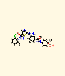 Cc1cccc(Cl)c1NC(=O)c1cnc(Nc2cccc(C(=O)NC3CCC(C)(O)CC3)c2)s1